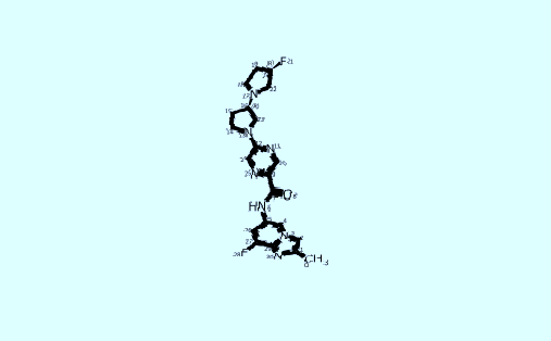 Cc1cn2cc(NC(=O)c3cnc(N4CC[C@@H](N5CC[C@@H](F)C5)C4)cn3)cc(F)c2n1